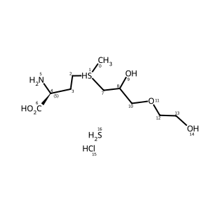 C[SH](CC[C@H](N)C(=O)O)CC(O)COCCO.Cl.S